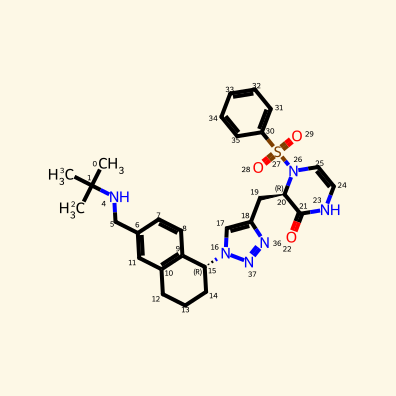 CC(C)(C)NCc1ccc2c(c1)CCC[C@H]2n1cc(C[C@@H]2C(=O)NC=CN2S(=O)(=O)c2ccccc2)nn1